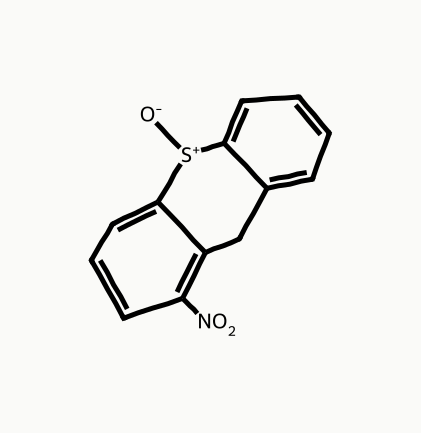 O=[N+]([O-])c1cccc2c1Cc1ccccc1[S+]2[O-]